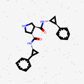 O=C(N[C@@H]1CC1c1ccccc1)[C@@H]1CNC[C@H]1C(=O)N[C@@H]1C[C@H]1c1ccccc1